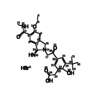 Br.CCOc1cc2c(cc1C(=O)NC)C(=N)N(CC(=O)c1cc(CC(=O)O)c(O)c(C(C)(C)C)c1)C2